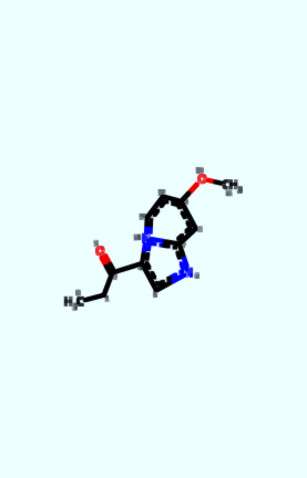 CCC(=O)c1cnc2cc(OC)ccn12